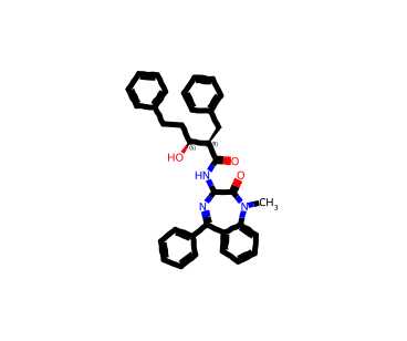 CN1C(=O)C(NC(=O)[C@H](Cc2ccccc2)[C@@H](O)CCc2ccccc2)N=C(c2ccccc2)c2ccccc21